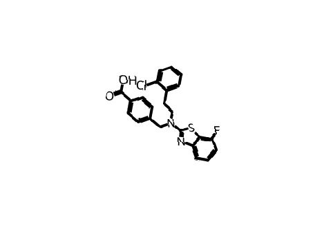 O=C(O)c1ccc(CN(CCc2ccccc2Cl)c2nc3cccc(F)c3s2)cc1